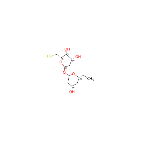 CC[C@@H]1C[C@H](O)CC(O[C@@H]2C[C@@H](O)[C@H](O)[C@@H](CS)O2)O1